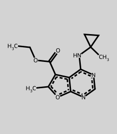 CCOC(=O)c1c(C)oc2ncnc(NC3(C)CC3)c12